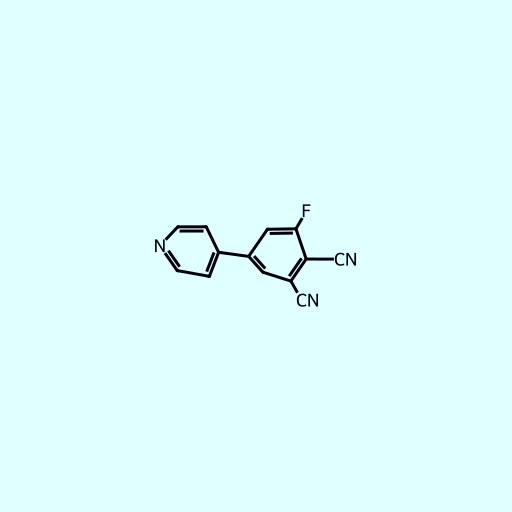 N#Cc1cc(-c2ccncc2)cc(F)c1C#N